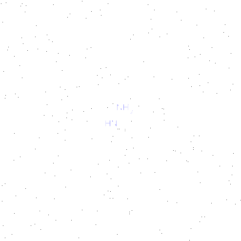 CCCCC.CCNN